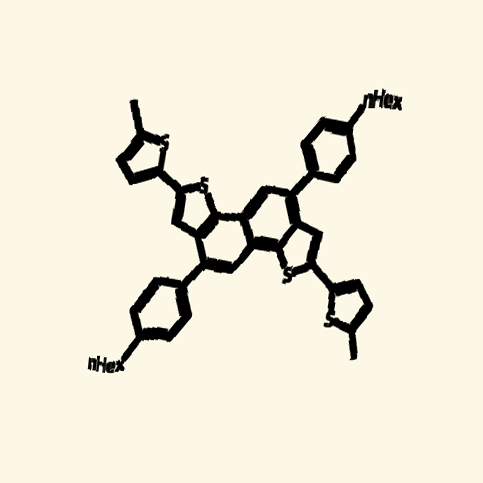 CCCCCCc1ccc(-c2cc3c(cc(-c4ccc(CCCCCC)cc4)c4cc(-c5ccc(C)s5)sc43)c3sc(-c4ccc(C)s4)cc23)cc1